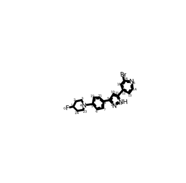 FC1CCN(c2ccc(-c3cc(-c4ccnc(Br)c4)[nH]n3)cc2)CC1